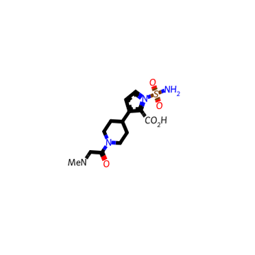 CNCC(=O)N1CCC(c2ccn(S(N)(=O)=O)c2C(=O)O)CC1